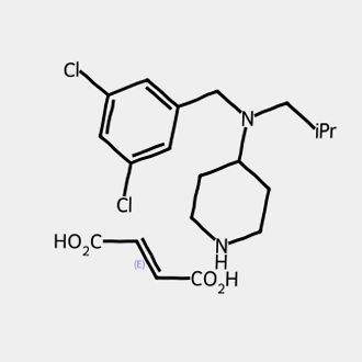 CC(C)CN(Cc1cc(Cl)cc(Cl)c1)C1CCNCC1.O=C(O)/C=C/C(=O)O